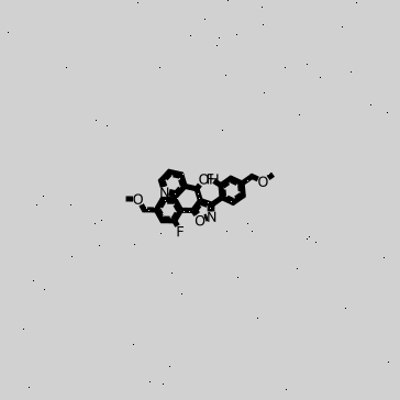 COCc1ccc(-c2noc(-c3ccc(COC)cc3F)c2C(O)c2cccnc2)c(F)c1